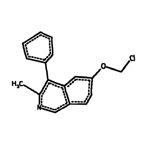 Cc1ncc2ccc(OCCl)cc2c1-c1ccccc1